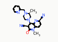 C[C@@H]1CN(c2c(C#N)c(=O)n(C)c3ccc(C#N)nc23)CCN1Cc1ccccn1